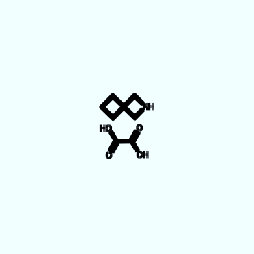 C1CC2(C1)CNC2.O=C(O)C(=O)O